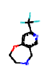 FC(F)(F)c1cc2c(cn1)CNCCO2